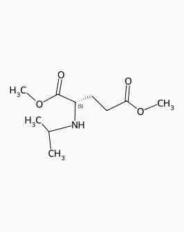 COC(=O)CC[C@H](NC(C)C)C(=O)OC